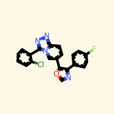 Fc1ccc(-c2ncoc2-c2ccc3nnc(-c4ccccc4Cl)n3c2)cc1